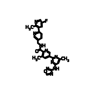 Cc1cc(Nc2ncon2)nc(-c2cnc(C(=O)NCc3ccc(-c4cc(F)cnc4C)nc3)c(C)c2)n1